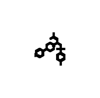 CC(C)=CC(CC(C)(C)c1ccc(C)cc1)N1CCC(c2ccncc2)CC1